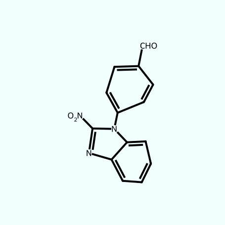 O=Cc1ccc(-n2c([N+](=O)[O-])nc3ccccc32)cc1